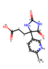 Cc1ccc(C2(CCC(=O)O)NC(=O)NC2=O)cn1